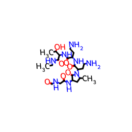 CCNC(=O)C(NC(=O)C(CCN)NC(=O)C(CCN)N1C(=O)C(NC(=O)CNC=O)CC1C)C(C)O